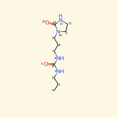 CCCNC(=O)NCCCN1CCNC1=O